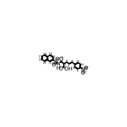 O=C(O)C(CC=Cc1ccc([N+](=O)[O-])cc1)C(=O)NS(=O)(=O)c1ccc2ccccc2c1